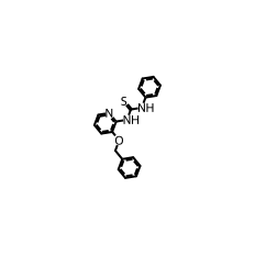 S=C(Nc1ccccc1)Nc1ncccc1OCc1ccccc1